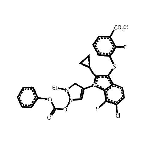 CCOC(=O)c1cccc(Sc2c(C3CC3)n(C3=CN(OC(=O)Oc4ccccc4)N(CC)C3)c3c(F)c(Cl)ccc23)c1F